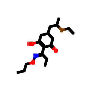 CCCO/N=C(\CC)C1=C(O)CC(CC(C)SCC)CC1=O